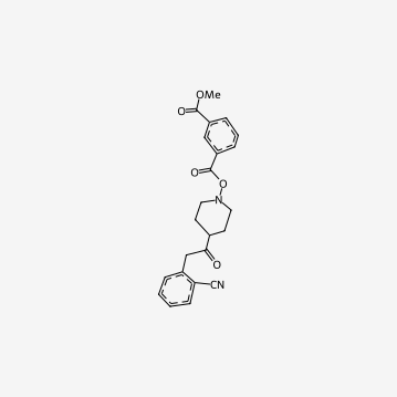 COC(=O)c1cccc(C(=O)ON2CCC(C(=O)Cc3ccccc3C#N)CC2)c1